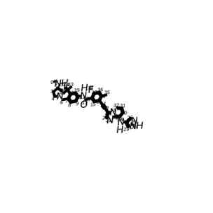 CNC1CCN(Cc2ccc(NC(=O)c3cc(C#Cc4cnc5c(Nc6cn[nH]c6)cccn45)c(C)cc3F)cc2C(C)(C)Cl)C1